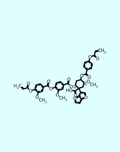 C=CC(=O)Oc1ccc(C(=O)OC2C[C@@H](OC(=O)c3ccc(OC(=O)c4ccc(OC(=O)C=C)c(OC)c4)c(OC)c3)C(C(=O)O)(c3coc4ccoc34)C[C@H]2OC)cc1